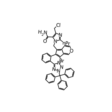 CCCc1nc(CCl)c(C(N)=O)n1Cc1c2ccocc-2c(Br)c1-c1ccccc1-c1nnn(C(c2ccccc2)(c2ccccc2)c2ccccc2)n1